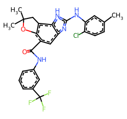 Cc1ccc(Cl)c(Nc2nc3cc(C(=O)Nc4cccc(C(F)(F)F)c4)c4c(c3[nH]2)CC(C)(C)O4)c1